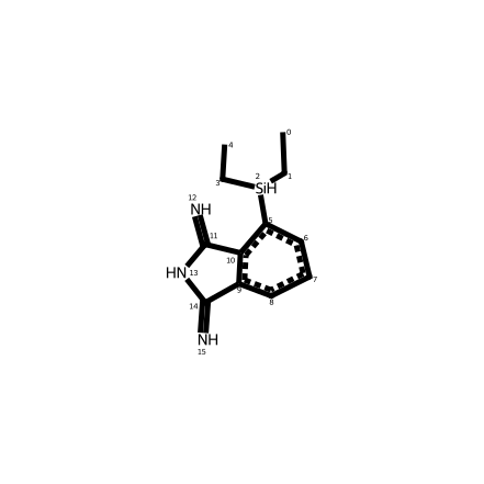 CC[SiH](CC)c1cccc2c1C(=N)NC2=N